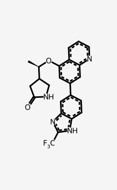 C[C@@H](Oc1cc(-c2ccc3[nH]c(C(F)(F)F)nc3c2)cc2ncccc12)C1CNC(=O)C1